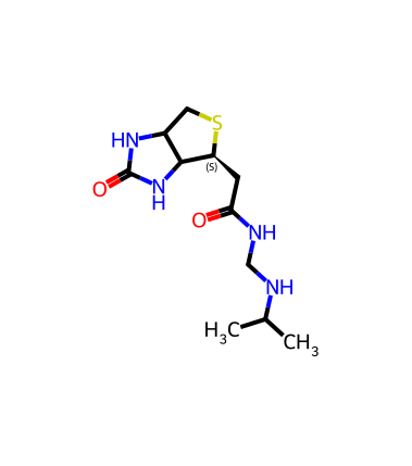 CC(C)NCNC(=O)C[C@@H]1SCC2NC(=O)NC21